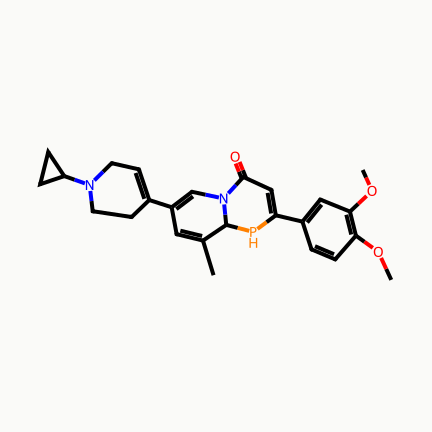 COc1ccc(C2=CC(=O)N3C=C(C4=CCN(C5CC5)CC4)C=C(C)C3P2)cc1OC